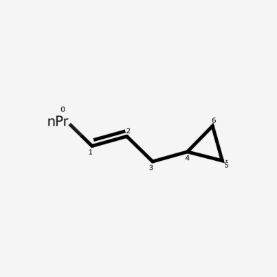 CCCC=CCC1[CH]C1